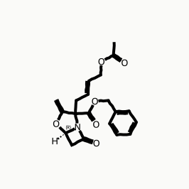 C=C1O[C@@H]2CC(=O)N2C1(CC=CCOC(C)=O)C(=O)OCc1ccccc1